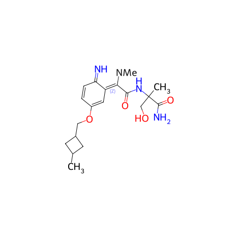 CN/C(C(=O)NC(C)(CO)C(N)=O)=C1/C=C(OCC2CC(C)C2)C=CC1=N